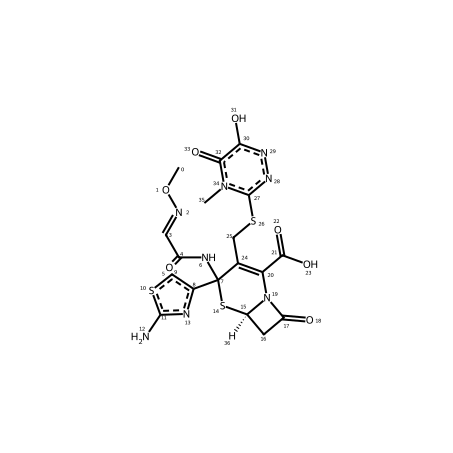 CO/N=C/C(=O)NC1(c2csc(N)n2)S[C@@H]2CC(=O)N2C(C(=O)O)=C1CSc1nnc(O)c(=O)n1C